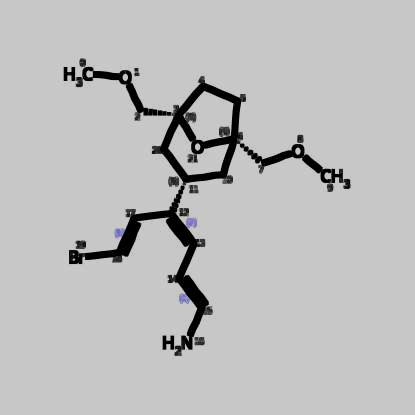 COC[C@@]12CC[C@@](COC)(C[C@H](C(=C/C=C/N)/C=C/Br)C1)O2